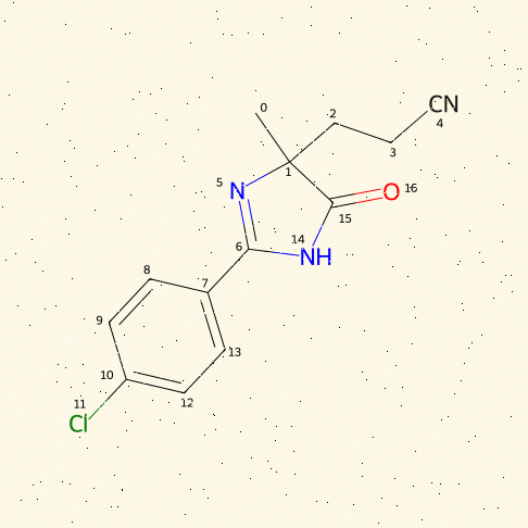 CC1(CCC#N)N=C(c2ccc(Cl)cc2)NC1=O